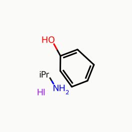 CC(C)N.I.Oc1ccccc1